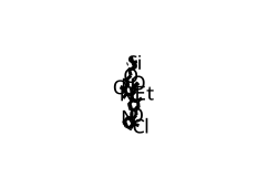 CCc1c(-c2ccc(Oc3ncccc3Cl)cc2C)n(C)c(=O)n(COCC[Si](C)(C)C)c1=O